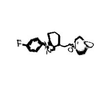 [O-][N+]1(CCC2CCCc3c2cnn3-c2ccc(F)cc2)CCOCC1